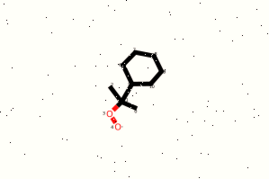 CC(C)(O[O])C1CCCCC1